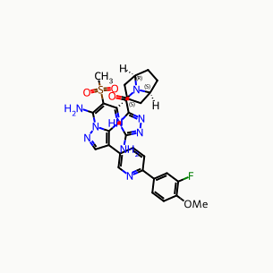 COc1ccc(-c2ccc(-c3cnn4c(N)c(S(C)(=O)=O)c([C@@H]5C[C@H]6CC[C@@H](C5)N6C(=O)c5nnc(N)[nH]5)nc34)cn2)cc1F